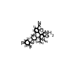 CC(C)c1cc(-c2cc(C#N)ccc2N2CCC(Oc3ccc(F)cc3F)CC2)c(C(N)=O)c(=O)n1C